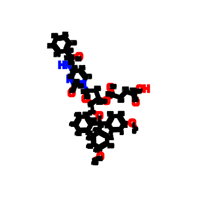 COc1ccc(C(OC[C@H]2O[C@@H](n3ccc(NC(=O)c4ccccc4)nc3=O)C[C@@H]2OC(=O)CCC(=O)O)(c2ccccc2)c2ccc(OC)cc2)cc1